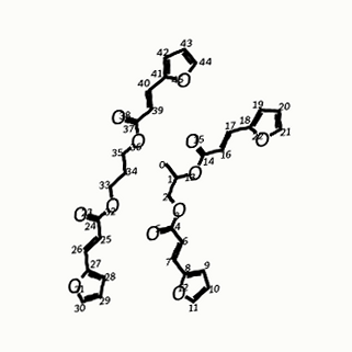 CC(COC(=O)/C=C/c1ccco1)OC(=O)/C=C/c1ccco1.O=C(/C=C/c1ccco1)OCCCOC(=O)/C=C/c1ccco1